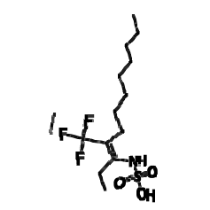 CC.CCCCCCCCC(=C(CC)NS(=O)(=O)O)C(F)(F)F